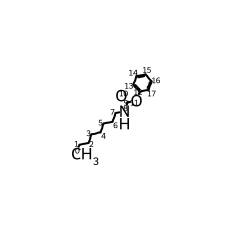 CCCCCCCCNC(=O)Oc1ccccc1